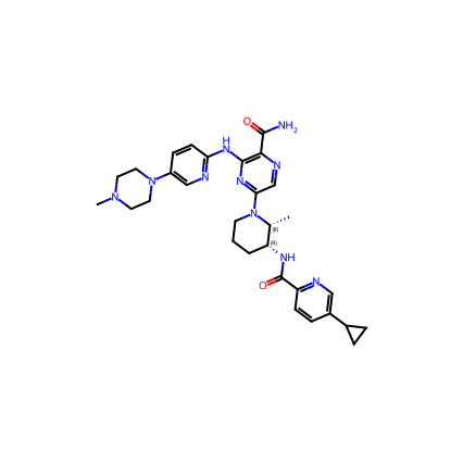 C[C@@H]1[C@H](NC(=O)c2ccc(C3CC3)cn2)CCCN1c1cnc(C(N)=O)c(Nc2ccc(N3CCN(C)CC3)cn2)n1